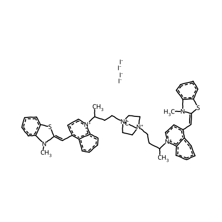 CC(CC[N+]12CC[N+](CCC(C)[n+]3ccc(C=C4Sc5ccccc5N4C)c4ccccc43)(CC1)CC2)[n+]1ccc(C=C2Sc3ccccc3N2C)c2ccccc21.[I-].[I-].[I-].[I-]